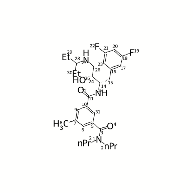 CCCN(CCC)C(=O)c1cc(C)cc(C(=O)N[C@@H](Cc2cc(F)cc(F)c2)[C@H](O)CNC(CC)CC)c1